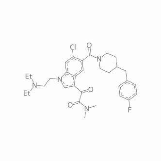 CCN(CC)CCn1cc(C(=O)C(=O)N(C)C)c2cc(C(=O)N3CCC(Cc4ccc(F)cc4)CC3)c(Cl)cc21